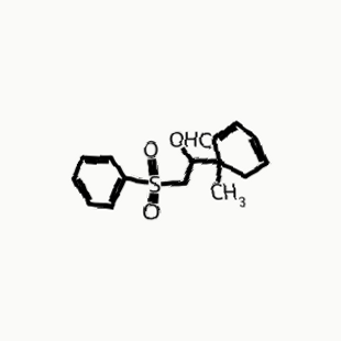 CC1(C(C=O)CS(=O)(=O)c2ccccc2)C=CC=CC1